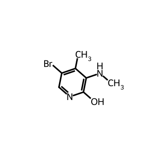 CNc1c(O)ncc(Br)c1C